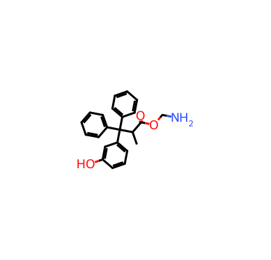 CC(C(=O)OCN)C(c1ccccc1)(c1ccccc1)c1cccc(O)c1